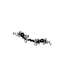 NS(=O)(=O)c1ccc2[nH]c(C(=O)SCCCCCSC(=O)c3nc4cc(S(N)(=O)=O)ccc4[nH]3)nc2c1